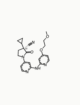 COCCOc1ccnc(Nc2cc(N3CC[C@@](C#N)(C4CC4)C3=O)ccn2)c1